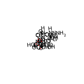 Nc1nc(Cl)nc(Nc2cc(NS(=O)(=O)c3cccc4c5n6c(c34)=NC3=[N+]4C(=Nc7c8cccc(S(=O)(=O)O)c8c8n7C64[N+]4=C(N=5)c5c(cccc5S(=O)(=O)O)C4=N8)c4c3cccc4S(=O)(=O)O)ccc2S(=O)(=O)O)n1